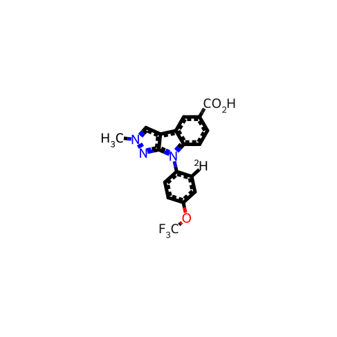 [2H]c1cc(OC(F)(F)F)ccc1-n1c2ccc(C(=O)O)cc2c2cn(C)nc21